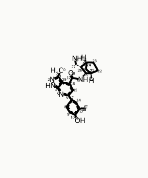 Cc1n[nH]c2nc(-c3ccc(O)c(F)c3)cc(C(=O)N[C@@H]3[C@H]4CC[C@H](C4)[C@H]3CN)c12